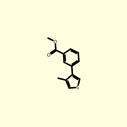 COC(=O)c1cccc(-c2cscc2C)c1